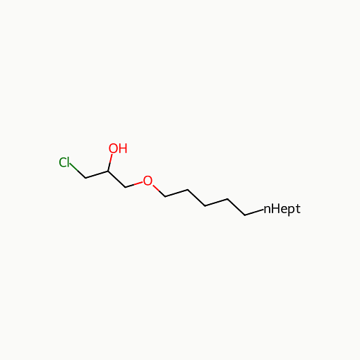 CCCCCCCCCCCCOCC(O)CCl